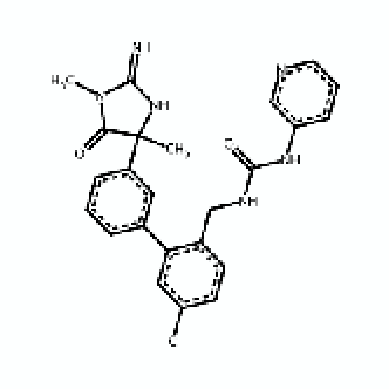 CN1C(=N)NC(C)(c2cccc(-c3cc(Cl)ccc3CNC(=O)Nc3cccnc3)c2)C1=O